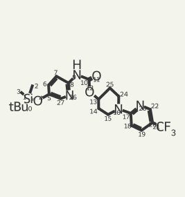 CC(C)(C)[Si](C)(C)Oc1ccc(NC(=O)OC2CCN(c3ccc(C(F)(F)F)cn3)CC2)nc1